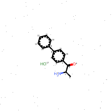 CC(N)C(=O)c1ccc(-c2ccccc2)cc1.Cl